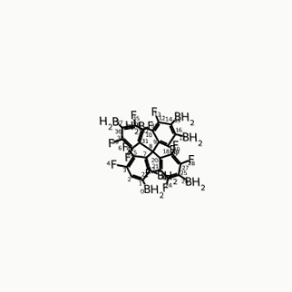 Bc1cc(F)c(F)c(C(c2c(B)c(F)c(B)c(B)c2F)(c2c(F)c(F)c(B)c(F)c2F)c2c(F)c(F)c(B)c(F)c2F)c1B